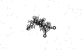 CC1C[C@@H]2OC(O[C@H]3OC(CO)[C@@H](N[C@H]4CC[C@H](NC(=O)OC(C)(C)C)CC4)[C@H](O)C3O)C3C(OC(=O)N3C)C2O[C@@H]1O[C@@H]1C(NC(=O)OCc2ccccc2)C[C@@H](NC(=O)OCc2ccccc2)C(O)[C@H]1O